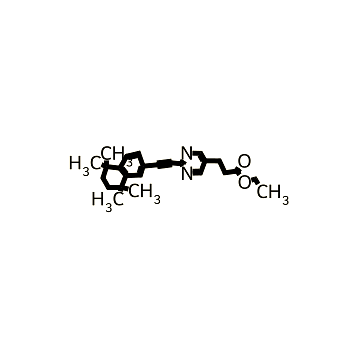 CCOC(=O)CCc1cnc(C#Cc2ccc3c(c2)C(C)(C)CCC3(C)C)nc1